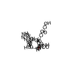 Nc1ncnc2c1ncn2[C@@H]1O[C@@H]2COP(=O)(SCc3ccc(OC(=O)c4ccc(O)cc4)cc3)O[C@@H]3[C@H](F)[C@@H](CCOP(=O)(O)O[C@H]2[C@H]1F)O[C@H]3n1ccc(=O)[nH]c1=O